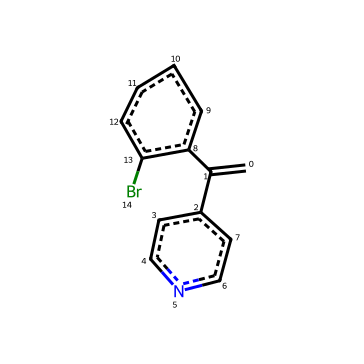 C=C(c1ccncc1)c1ccccc1Br